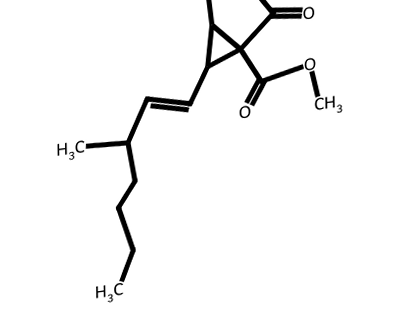 CCCCC(C)C=CC1C2COC(=O)C12C(=O)OC